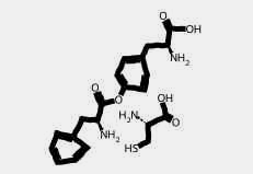 N[C@@H](CS)C(=O)O.N[C@@H](Cc1ccc(OC(=O)[C@@H](N)Cc2ccccc2)cc1)C(=O)O